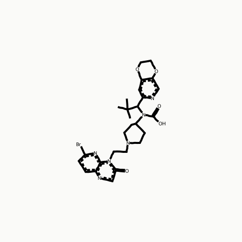 CC(C)(C)C(c1cc2c(cn1)OCCO2)N(C(=O)O)C1CCN(CCn2c(=O)cnc3ccc(Br)nc32)CC1